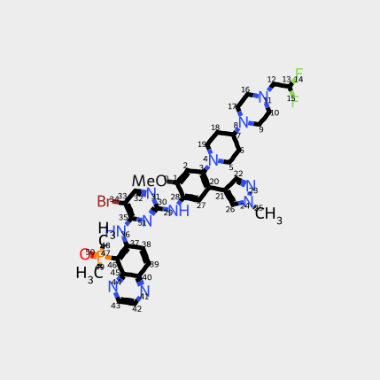 COc1cc(N2CCC(N3CCN(CC(F)F)CC3)CC2)c(-c2cnn(C)c2)cc1Nc1ncc(Br)c(Nc2ccc3nccnc3c2P(C)(C)=O)n1